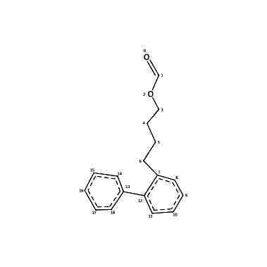 O=COCCCCc1ccccc1-c1ccccc1